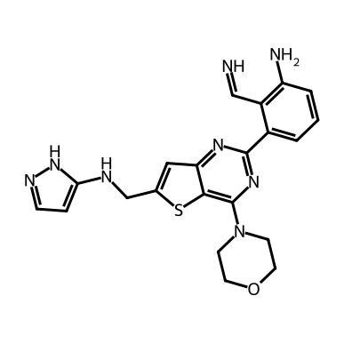 N=Cc1c(N)cccc1-c1nc(N2CCOCC2)c2sc(CNc3ccn[nH]3)cc2n1